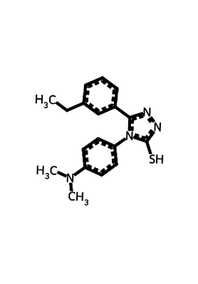 CCc1cccc(-c2nnc(S)n2-c2ccc(N(C)C)cc2)c1